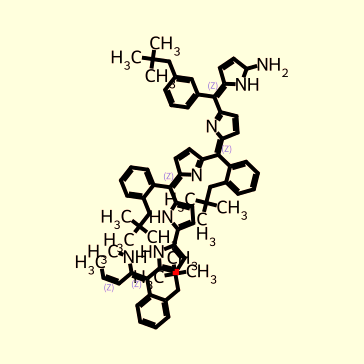 C/C=C\C(NC)=C(\c1ccc(-c2ccc(/C(=C3/C=CC(C(=C4/C=CC(C(=C5/C=CC(N)N5)/c5cccc(CC(C)(C)C)c5)=N4)/c4ccccc4CC(C)(C)C)=N3)c3ccccc3CC(C)(C)C)[nH]2)[nH]1)c1ccccc1CC(C)(C)C